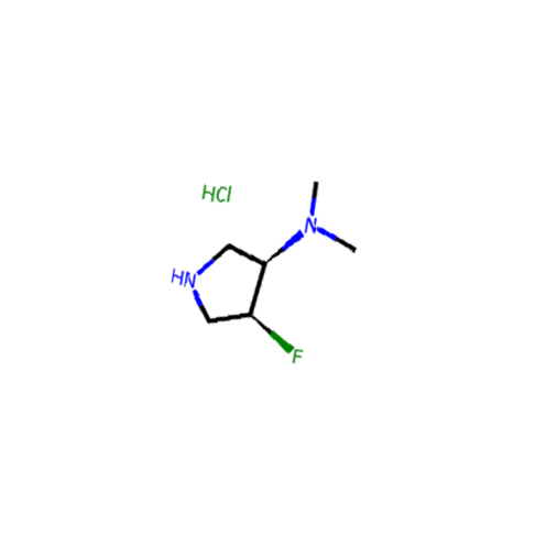 CN(C)[C@@H]1CNC[C@@H]1F.Cl